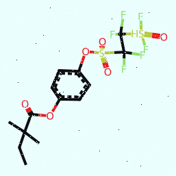 CCC(C)(C)C(=O)Oc1ccc(OS(=O)(=O)C(F)(F)C(F)(F)[SH](=O)(F)F)cc1